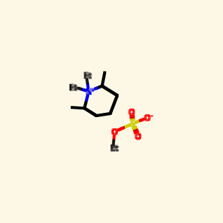 CCOS(=O)(=O)[O-].CC[N+]1(CC)C(C)CCCC1C